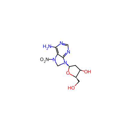 Nc1ncnc2c1N([N+](=O)[O-])CN2[C@H]1CC(O)[C@@H](CO)O1